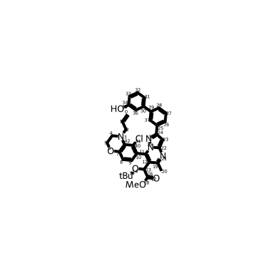 C=CCN1CCOc2ccc(-c3c(C(OC(C)(C)C)C(=O)OC)c(C)nc4cc(-c5cccc(-c6cccc(O)c6)c5)nn34)c(Cl)c21